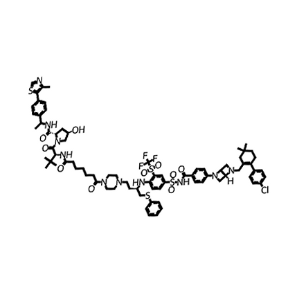 Cc1ncsc1-c1ccc(C(C)NC(=O)[C@@H]2C[C@@H](O)CN2C(=O)[C@@H](NC(=O)CCCCCC(=O)N2CCN(CC[C@H](CSc3ccccc3)Nc3ccc(S(=O)(=O)NC(=O)c4ccc(N5C[C@@H]6C5CN6CC5=C(c6ccc(Cl)cc6)CCC(C)(C)C5)cc4)cc3S(=O)(=O)C(F)(F)F)CC2)C(C)(C)C)cc1